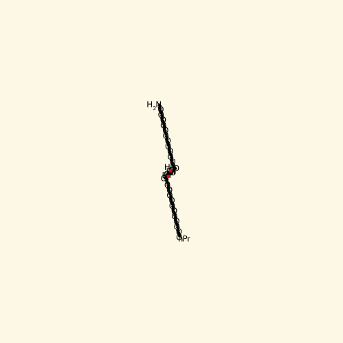 CCCOCCOCCOCCOCCOCCOCCOCCOCCOCCOCCOCCCC(=O)C(F)(F)OC(F)(F)C(F)(F)OC(F)(F)C(=O)NCCOCCOCCOCCOCCOCCOCCOCCOCCOCCOCCOCCN